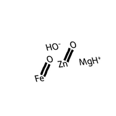 [MgH+].[OH-].[O]=[Fe].[O]=[Zn]